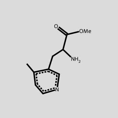 COC(=O)C(N)Cc1cnccc1C